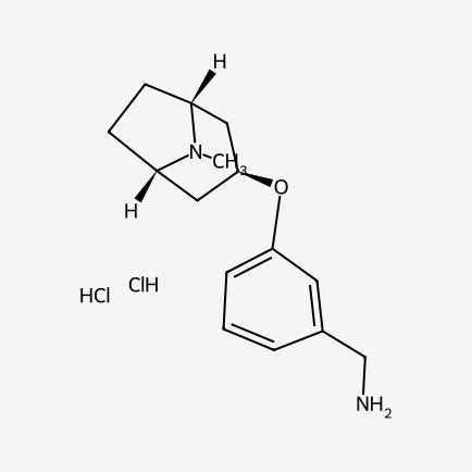 CN1[C@@H]2CC[C@H]1C[C@H](Oc1cccc(CN)c1)C2.Cl.Cl